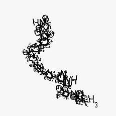 CCN(C)S(=O)(=O)Nc1ccc(F)c(C(=O)c2c[nH]c3ncc(-c4ccc(CN5CCN(C6CCN(C(=O)C7CCN(c8ccc9c(c8)C(=O)N(C8CCC(=O)NC8=O)C9=O)CC7)CC6)CC5)cc4)cc23)c1F